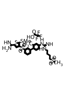 CSc1sc(C(=N)N)cc1S(=O)(=O)c1cccc(-c2ccc(NC(=N)NCCCCS(C)(=O)=O)cc2C)c1.O=C(O)C(F)(F)F